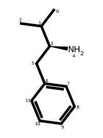 CC(C)[C@@H](N)Cc1ccccc1